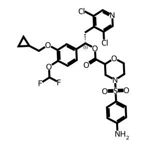 Nc1ccc(S(=O)(=O)N2CCOC(C(=O)O[C@@H](Cc3c(Cl)cncc3Cl)c3ccc(OC(F)F)c(OCC4CC4)c3)C2)cc1